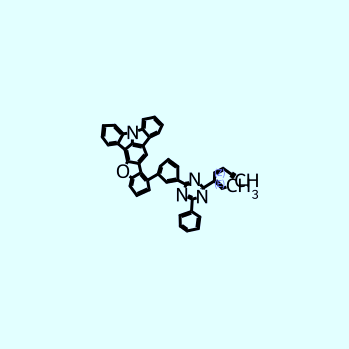 C#C/C=C\C(=C/C)c1nc(-c2ccccc2)nc(-c2cccc(-c3cccc4oc5c(cc6c7ccccc7n7c8ccccc8c5c67)c34)c2)n1